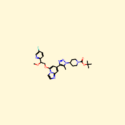 COC(COc1cc(-c2nnn(C3CCN(C(=O)OC(C)(C)C)CC3)c2C)cc2nccn12)c1ccc(F)cn1